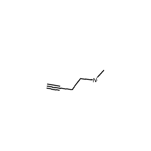 C#CCC[N]C